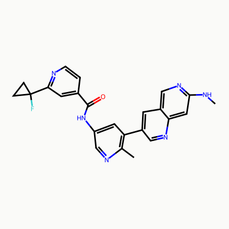 CNc1cc2ncc(-c3cc(NC(=O)c4ccnc(C5(F)CC5)c4)cnc3C)cc2cn1